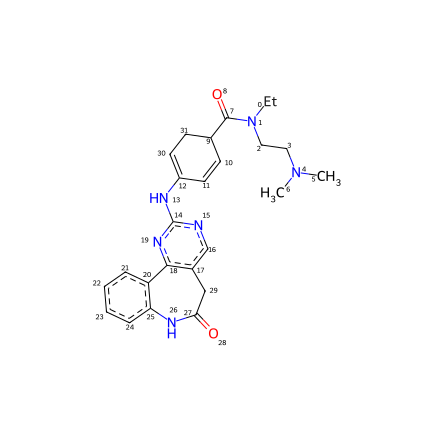 CCN(CCN(C)C)C(=O)C1C=CC(Nc2ncc3c(n2)-c2ccccc2NC(=O)C3)=CC1